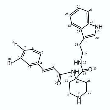 O=C(C=Cc1ccc(F)c(Br)c1)NC1(C(=O)NCCc2c[nH]c3ccccc23)CCNCC1